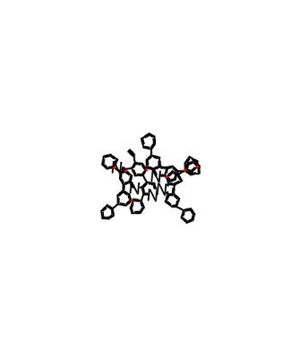 C#Cc1ccc(-c2c(-n3c4ccc(-c5ccccc5)cc4c4cc(-c5ccccc5)ccc43)c(-c3ccccc3)nc(-n3c4ccc(-c5ccccc5)cc4c4cc(-c5ccccc5)ccc43)c2-n2c3ccc(-c4ccccc4)cc3c3cc(-c4ccccc4)ccc32)cc1C#N